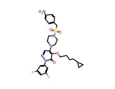 Nc1ccc(CS(=O)(=O)N2CCN(c3cnn(-c4cc(F)cc(F)c4)c(=O)c3OCCCCC3CC3)CC2)cc1